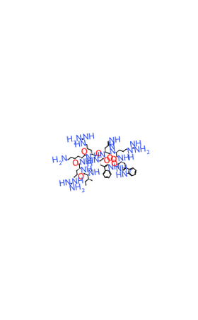 CC[C@H](C)[C@H](NC)C(=O)N[C@@H](CCCNC(=N)N)C(=O)N[C@@H](CCCCN)C(=O)N[C@@H](CCCNC(=N)N)C(=O)N[C@@H](Cc1c[nH]c2ccccc12)C(=O)N[C@@H](Cc1c[nH]cn1)C(=O)N[C@@H](CCCNC(=N)N)C(=O)N[C@@H](Cc1c[nH]c2ccccc12)C(N)=O